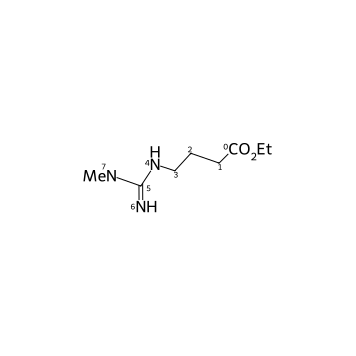 CCOC(=O)CCCNC(=N)NC